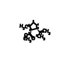 C=C(C)[C@H]1CC[C@@H](C)[C@H]1C(=O)OC